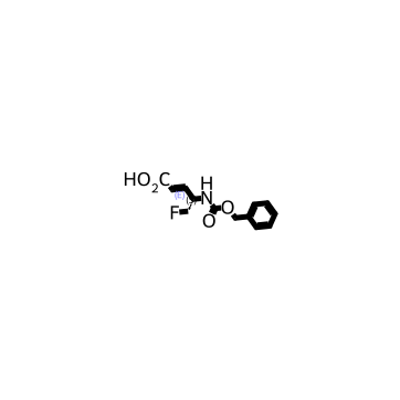 O=C(O)/C=C/[C@@H](CF)NC(=O)OCc1ccccc1